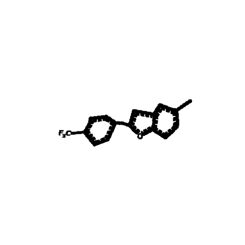 Cc1ccc2oc(-c3ccc(C(F)(F)F)cc3)cc2c1